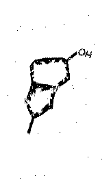 Cc1cn2cc(O)ccc2n1